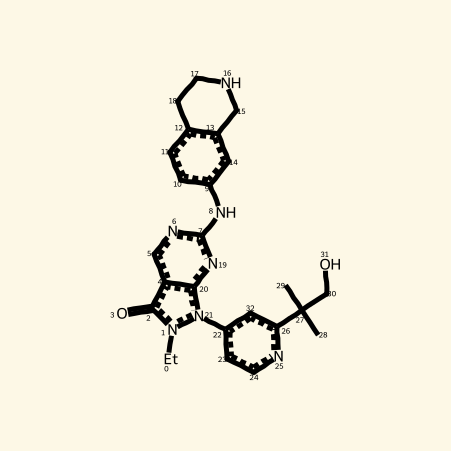 CCn1c(=O)c2cnc(Nc3ccc4c(c3)CNCC4)nc2n1-c1ccnc(C(C)(C)CO)c1